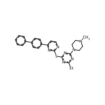 CCc1nc(Sc2nccc(-c3ccc(-c4ccccc4)cc3)n2)nc(N2CCN(C)CC2)n1